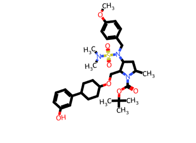 COc1ccc(CN(C2CC(C)N(C(=O)OC(C)(C)C)C2COC2CCC(c3cccc(O)c3)CC2)S(=O)(=O)N(C)C)cc1